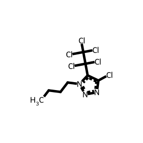 CCCCn1nnc(Cl)c1C(Cl)(Cl)C(Cl)(Cl)Cl